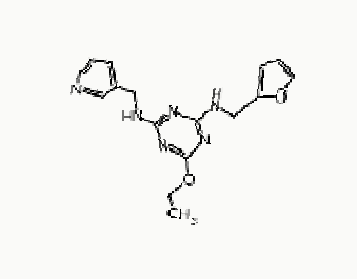 CCOc1nc(NCc2cccnc2)nc(NCc2ccco2)n1